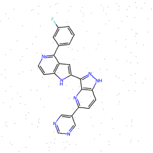 Fc1cccc(-c2nccc3[nH]c(-c4n[nH]c5ccc(-c6cncnc6)nc45)cc23)c1